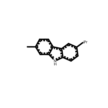 Cc1ccc2c(c1)[nH]c1ccc(C(C)C)cc12